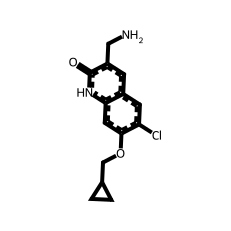 NCc1cc2cc(Cl)c(OCC3CC3)cc2[nH]c1=O